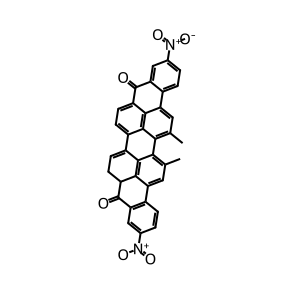 Cc1cc2c3c4c(c5ccc6c7c(cc(C)c(c14)c75)-c1ccc([N+](=O)[O-])cc1C6=O)=CCC3C(=O)c1cc([N+](=O)[O-])ccc1-2